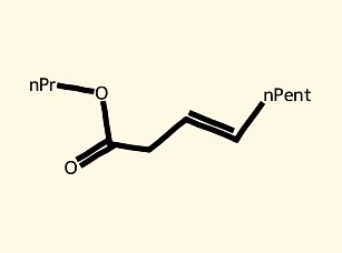 CCCCCC=CCC(=O)OCCC